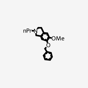 CCCN1CCc2cc(OC)c(OCc3ccccc3)cc2C1